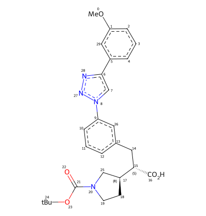 COc1cccc(-c2cn(-c3cccc(C[C@H](C(=O)O)[C@H]4CCN(C(=O)OC(C)(C)C)C4)c3)nn2)c1